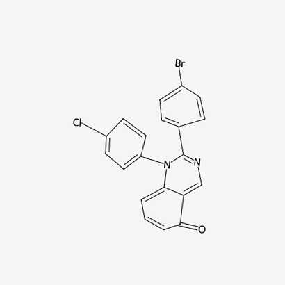 O=c1cccc2n(-c3ccc(Cl)cc3)c(-c3ccc(Br)cc3)ncc1-2